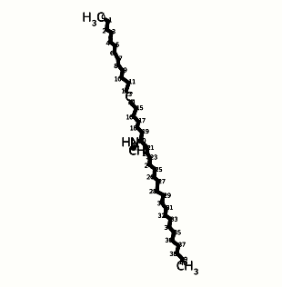 CCCCCCCCCCCCCCCCCCCCC(CCCCCCCCCCCCCCCCCCCC)NC